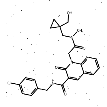 CN(CC1(CO)CC1)C(=O)Cn1c(=O)c(C(=O)NCc2ccc(Cl)cc2)cc2cccnc21